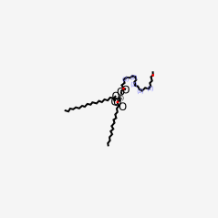 CCCCC/C=C\C/C=C\C/C=C\C/C=C\C/C=C\CCC(=O)OC[C@H](COC(=O)CCCCCCCCCCCCCC)OC(=O)CCCCCCCCCCCCCCCCC